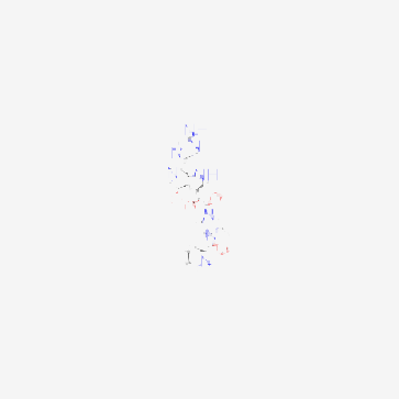 COc1cnc(-c2cnc(N)cn2)c2[nH]cc(C(=O)C(=O)N3CCN(C(=O)c4ccccn4)C(C)C3)c12